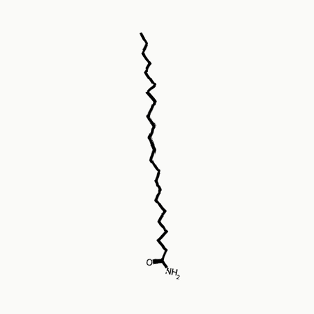 CCCCCCCCCCCCCCCCCCCCCCC(N)=O